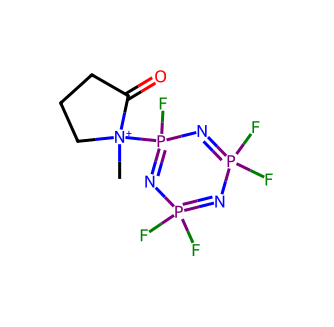 C[N+]1(P2(F)=NP(F)(F)=NP(F)(F)=N2)CCCC1=O